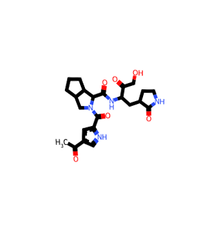 CC(=O)c1c[nH]c(C(=O)N2CC3CCCC3C2C(=O)NC(CC2CCNC2=O)C(=O)CO)c1